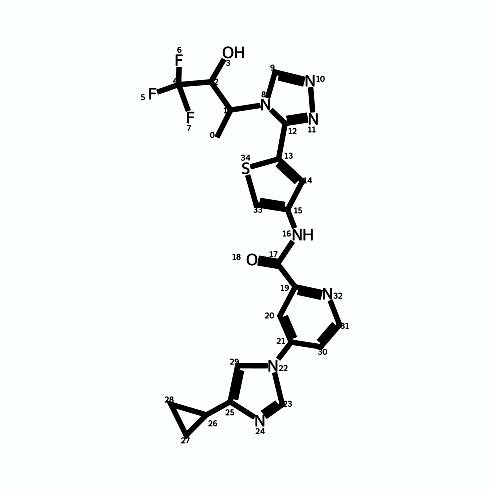 CC(C(O)C(F)(F)F)n1cnnc1-c1cc(NC(=O)c2cc(-n3cnc(C4CC4)c3)ccn2)cs1